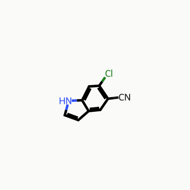 N#Cc1cc2cc[nH]c2cc1Cl